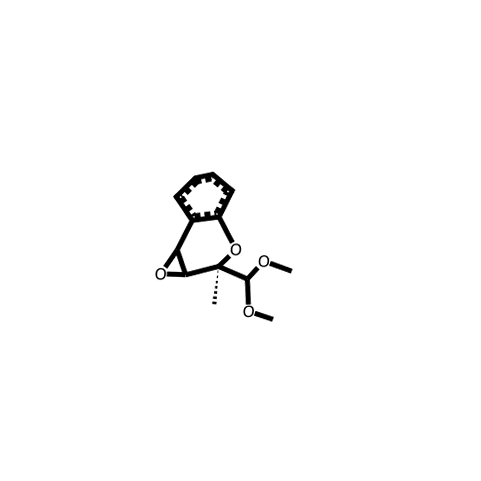 COC(OC)[C@]1(C)Oc2ccccc2C2OC21